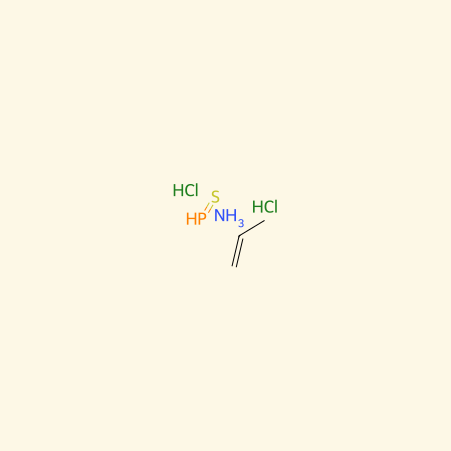 C=CC.Cl.Cl.N.P=S